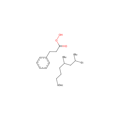 CCCCCCCCCCCCCC(CC(CC)C(C)(C)C)C(C)(C)C.O=C(CCc1ccccc1)OO